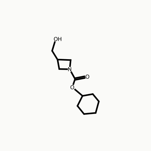 O=C(OC1CCCCC1)N1CC(CO)C1